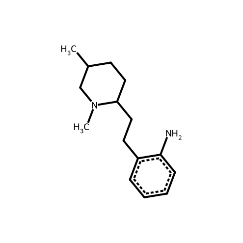 CC1CCC(CCc2ccccc2N)N(C)C1